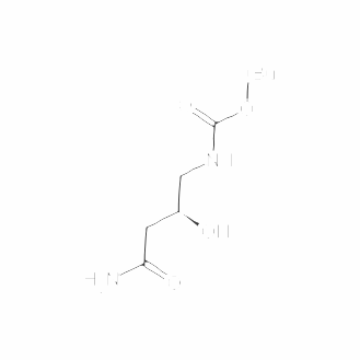 CC(C)(C)OC(=O)NC[C@@H](O)CC(N)=O